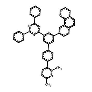 Cc1ccc(-c2ccc(-c3cc(-c4ccc5ccc6ccccc6c5c4)cc(-c4nc(-c5ccccc5)nc(-c5ccccc5)n4)c3)cc2)c(C)n1